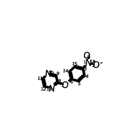 O=[N+]([O-])c1ccc(Oc2cnccn2)cc1